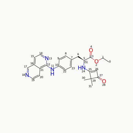 CCOC(=O)[C@H](Cc1ccc(Nc2nccc3cnccc23)cc1)NC1=CC(=O)C1(C)C